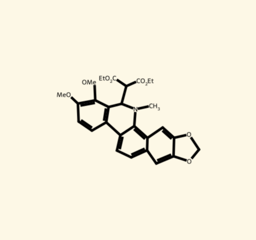 CCOC(=O)C(C(=O)OCC)C1c2c(ccc(OC)c2OC)-c2ccc3cc4c(cc3c2N1C)OCO4